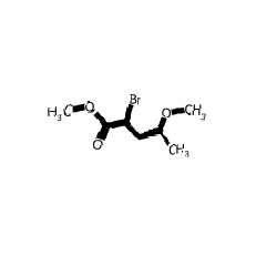 COC(=O)C(Br)C[C@H](C)OC